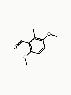 COc1ccc(OC)c(C=O)c1C